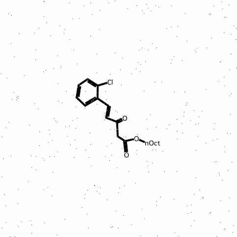 CCCCCCCCOC(=O)CC(=O)C=Cc1ccccc1Cl